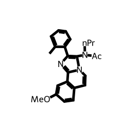 CCCN(C(C)=O)c1c(-c2ccccc2C)nc2c3cc(OC)ccc3ccn12